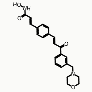 O=C(C=Cc1ccc(C=CC(=O)c2cccc(CN3CCOCC3)c2)cc1)NO